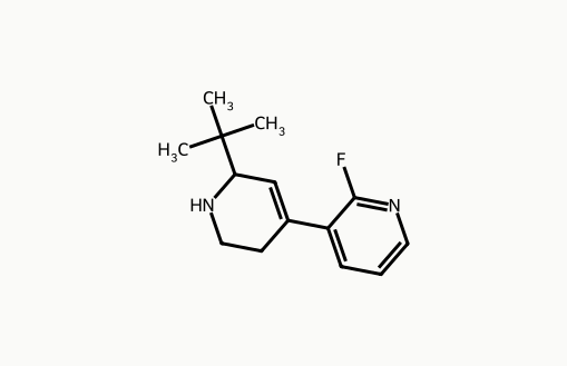 CC(C)(C)C1C=C(c2cccnc2F)CCN1